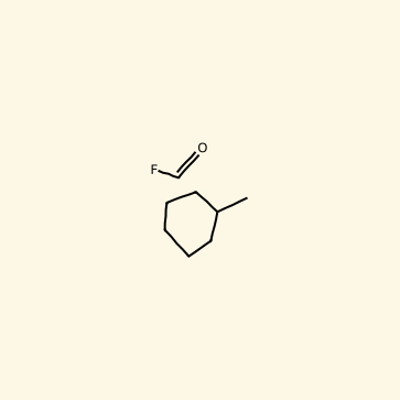 CC1CCCCC1.O=CF